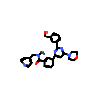 CN(Cc1ccncc1)C(=O)c1cccc(-c2cc(N3CCOCC3)nc(-c3cccc(CO)c3)n2)c1